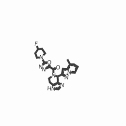 Cc1cccn2nc(C3c4nc[nH]c4CCN3C(=O)c3nnc(N4CCC(F)CC4)o3)cc12